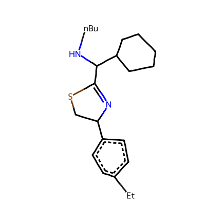 CCCCNC(C1=NC(c2ccc(CC)cc2)CS1)C1CCCCC1